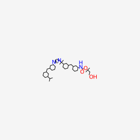 CC(C)C1CCCC(CC2CCCC(N=C=NC(C)(C)C3CCCC(CC4CCCC(NC(=O)OC(C)(C)CCO)C4)C3)C2)C1